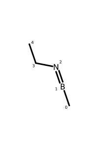 CB=NCC